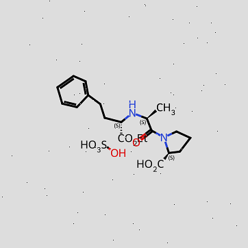 CCOC(=O)[C@H](CCc1ccccc1)N[C@@H](C)C(=O)N1CCC[C@H]1C(=O)O.O=S(=O)(O)O